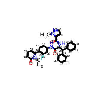 Cn1nccc1C(=O)N[C@H](C(=O)Nc1ccc(-c2cccc(=O)n2C)c(F)c1)C(c1ccccc1)c1ccccc1